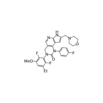 CCc1cc(OC)c(F)c(N2Cc3cnc4[nH]c(CN5CCOCC5)cc4c3N(c3ccc(F)cc3)C2=O)c1F